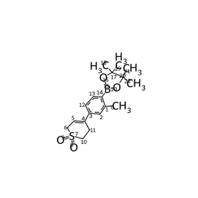 Cc1cc(C2=CCS(=O)(=O)CC2)ccc1B1OC(C)(C)C(C)(C)O1